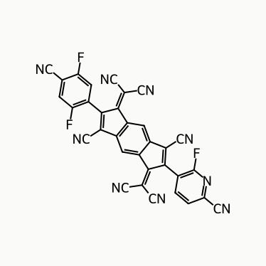 N#CC(C#N)=C1C(c2cc(F)c(C#N)cc2F)=C(C#N)c2cc3c(cc21)C(C#N)=C(c1ccc(C#N)nc1F)C3=C(C#N)C#N